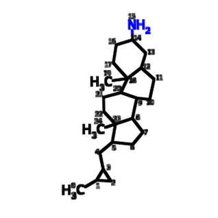 CC1CC1CC1CCC2C3CCC4CC(N)CCC4(C)C3CCC12C